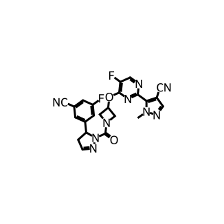 Cn1ncc(C#N)c1-c1ncc(F)c(OC2CN(C(=O)N3N=CCC3c3cc(F)cc(C#N)c3)C2)n1